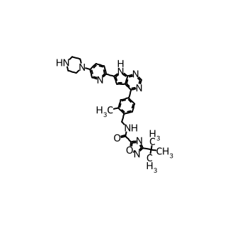 Cc1cc(-c2ncnc3[nH]c(-c4ccc(N5CCNCC5)cn4)cc23)ccc1CNC(=O)c1nc(C(C)(C)C)no1